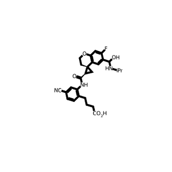 CC(C)NC(O)c1cc2c(cc1F)OCC[C@]21C[C@H]1C(=O)Nc1cc(C#N)ccc1CCCC(=O)O